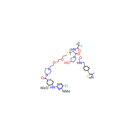 CNc1nc(Nc2ccc(C(=O)N3CCN(CCOCCOCCSC(C)(C)[C@H](NC(=O)C4(F)CC4)C(=O)N4C[C@H](O)C[C@H]4C(=O)NCc4ccc(-c5scnc5C)cc4)CC3)cc2OC)ncc1Cl